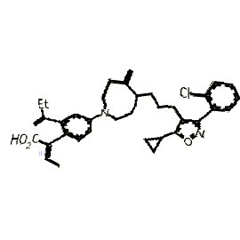 C=C(CC)c1cc(N2CCC(=C)C(CCCc3c(-c4ccccc4Cl)noc3C3CC3)CC2)ccc1/C(=C\C)C(=O)O